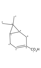 CC1(C)C2CC=C(C(=O)O)CC21